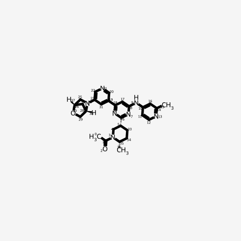 CC(=O)N1C[C@H](c2nc(Nc3ccnc(C)c3)cc(-c3cncc(N4C[C@@H]5C[C@H]4CO5)c3)n2)CC[C@@H]1C